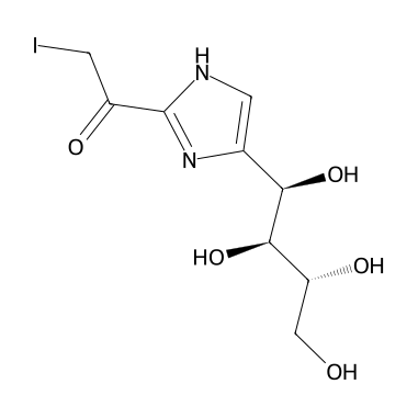 O=C(CI)c1nc([C@@H](O)[C@H](O)[C@H](O)CO)c[nH]1